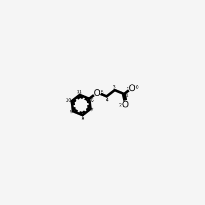 [O]C(=O)CCOc1ccccc1